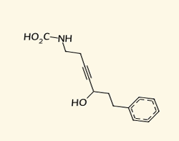 O=C(O)NCCC#CC(O)CCc1ccccc1